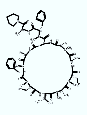 CC[C@H](C)[C@@H]1NC(=O)[C@H](CC(C)C)N(C)C(=O)[C@H](C)N(C)C(=O)[C@H]([C@@H](C)O)NC(=O)[C@H](CC(C)C)N(C)C(=O)[C@H](Cc2ccccc2)N(C)C(=O)[C@@H](C(C)C)NC(=O)C[C@@H](C(=O)N(C)[C@@H](Cc2ccccc2)C(=O)N[C@@H](C)C(=O)N2CCCCC2)NC(=O)[C@H](C(C)C)N(C)C1=O